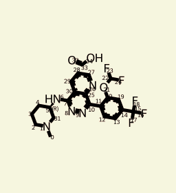 CN1CCC[C@@H](Nc2nnc(-c3ccc(C(F)(F)F)cc3OC(F)F)c3ncccc23)C1.O=CO